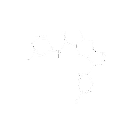 CC1Cn2ncc(-c3ccc(F)cc3)c2CN1C(=O)Nc1ccnc(F)c1